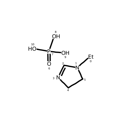 CCN1C=NCC1.O=P(O)(O)O